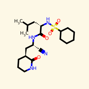 CC(C)C[C@H](NS(=O)(=O)C1CCCCC1)C(=O)N[C@H](C#N)C[C@@H]1CCCNC1=O